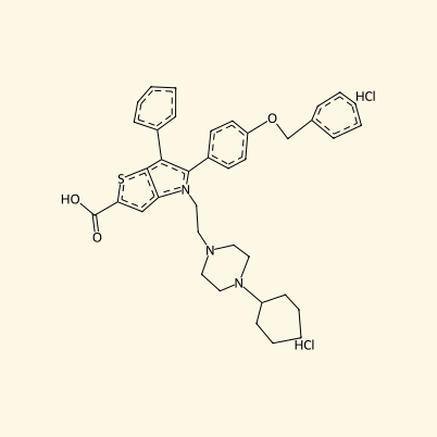 Cl.Cl.O=C(O)c1cc2c(s1)c(-c1ccccc1)c(-c1ccc(OCc3ccccc3)cc1)n2CCN1CCN(C2CCCCC2)CC1